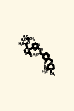 C[C@H](Nc1nccc(N2C(=O)OC[C@@H]2[C@@H](C)OC(C)(C)C)n1)c1ccc(CN2CCN(C)C(C)(C)C2)c(F)c1